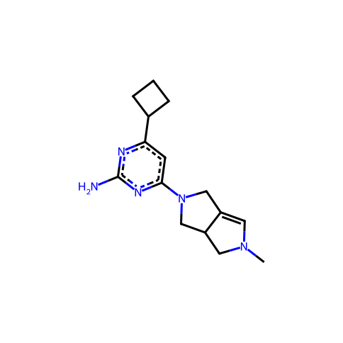 CN1C=C2CN(c3cc(C4CCC4)nc(N)n3)CC2C1